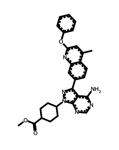 COC(=O)C1CCC(n2nc(-c3ccc4c(C)cc(Oc5ccccc5)nc4c3)c3c(N)ncnc32)CC1